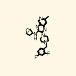 Cc1cc2nc(N3CCN(Cc4ccc(F)cc4F)CC3)c(N[C@@H]3CCOC3)nc2cn1